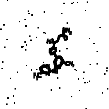 Cc1cc(Nc2nccc(C(F)(F)F)n2)cc(-c2cnc(C(O)CCC(N)=O)s2)c1